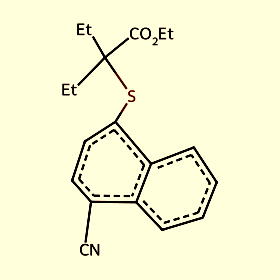 CCOC(=O)C(CC)(CC)Sc1ccc(C#N)c2ccccc12